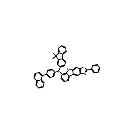 CC1(C)c2ccccc2-c2ccc(N(c3ccc(-c4cccc5ccccc45)cc3)c3cccc4c3oc3cc5oc(-c6ccccc6)nc5cc34)cc21